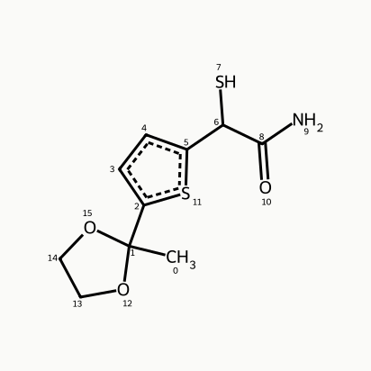 CC1(c2ccc(C(S)C(N)=O)s2)OCCO1